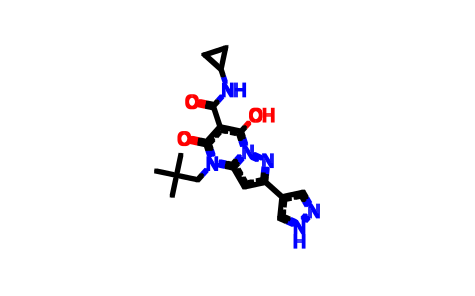 CC(C)(C)Cn1c(=O)c(C(=O)NC2CC2)c(O)n2nc(-c3cn[nH]c3)cc12